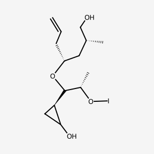 C=CC[C@H](C[C@@H](C)CO)OC([C@@H]1CC1O)[C@H](C)OI